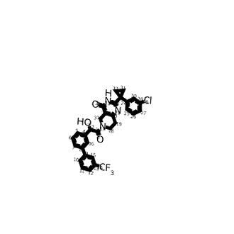 O=C(C(O)c1cccc(-c2cccc(C(F)(F)F)c2)c1)N1CCc2nc(C3(c4cccc(Cl)c4)CC3)[nH]c(=O)c2C1